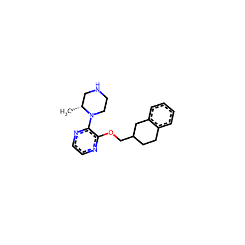 C[C@@H]1CNCCN1c1nccnc1OCC1CCc2ccccc2C1